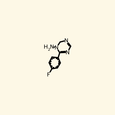 NN1CN=CN=C1c1ccc(F)cc1